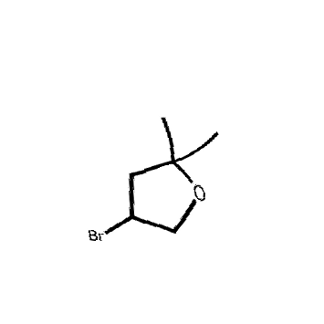 CC1(C)CC(Br)CO1